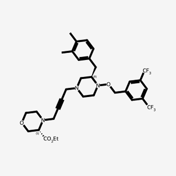 CCOC(=O)[C@@H]1COCCN1CC#CCN1CCN(OCc2cc(C(F)(F)F)cc(C(F)(F)F)c2)[C@H](Cc2ccc(C)c(C)c2)C1